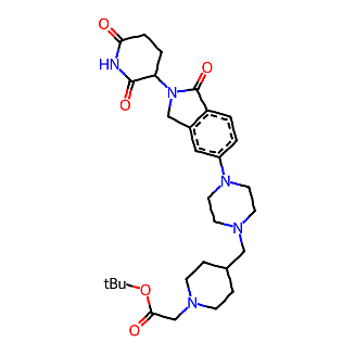 CC(C)(C)OC(=O)CN1CCC(CN2CCN(c3ccc4c(c3)CN(C3CCC(=O)NC3=O)C4=O)CC2)CC1